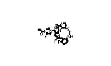 C=CC(=O)N1C[C@H](C)N(c2nc(=O)n3c4nc(c(F)cc24)-c2c(F)cccc2NCCSc2ccnc(C(C)C)c2-3)C[C@H]1C